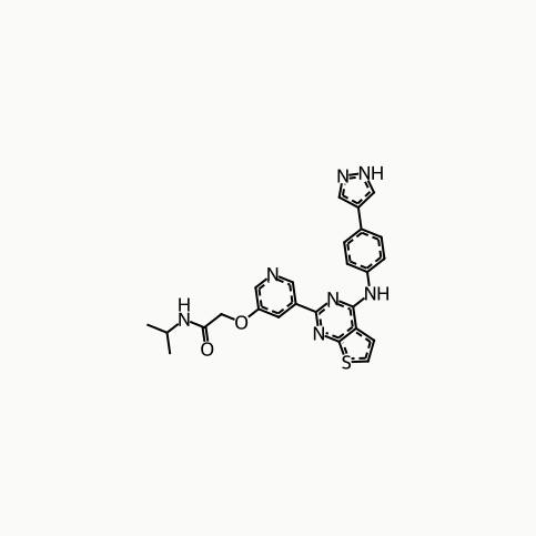 CC(C)NC(=O)COc1cncc(-c2nc(Nc3ccc(-c4cn[nH]c4)cc3)c3ccsc3n2)c1